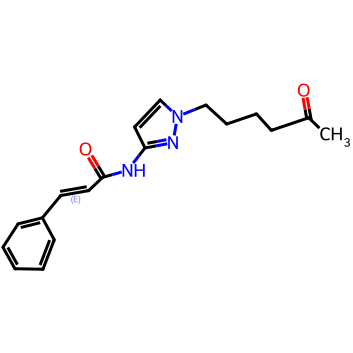 CC(=O)CCCCn1ccc(NC(=O)/C=C/c2ccccc2)n1